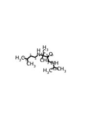 CC(C)CCNC(C)(C)C(=O)CNC(C)C